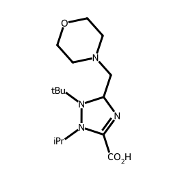 CC(C)N1C(C(=O)O)=NC(CN2CCOCC2)N1C(C)(C)C